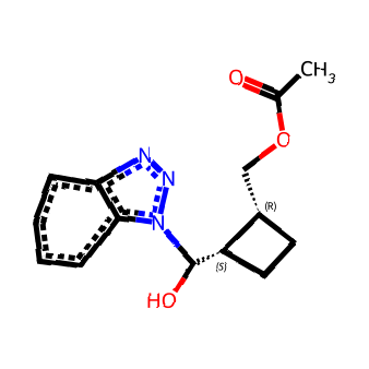 CC(=O)OC[C@@H]1CC[C@@H]1C(O)n1nnc2ccccc21